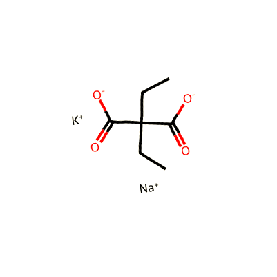 CCC(CC)(C(=O)[O-])C(=O)[O-].[K+].[Na+]